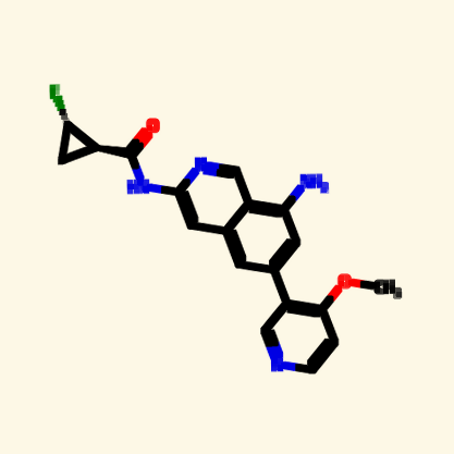 COc1ccncc1-c1cc(N)c2cnc(NC(=O)[C@H]3C[C@@H]3F)cc2c1